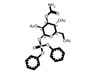 CC(=O)OC[C@H]1O[C@@H](OP(=O)(Oc2ccccc2)Oc2ccccc2)[C@@H](OC(C)=O)[C@@H](OC(N)=O)[C@@H]1OC(C)=O